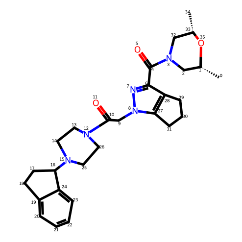 C[C@@H]1CN(C(=O)c2nn(CC(=O)N3CCN(C4CCc5ccccc54)CC3)c3c2CCC3)C[C@H](C)O1